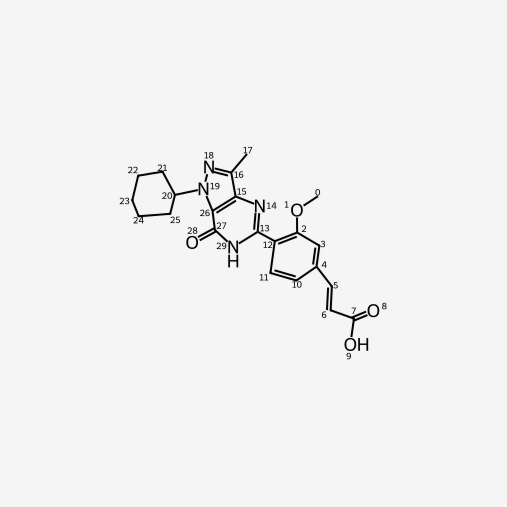 COc1cc(C=CC(=O)O)ccc1-c1nc2c(C)nn(C3CCCCC3)c2c(=O)[nH]1